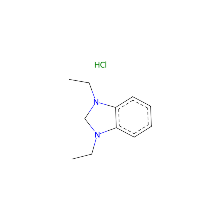 CCN1CN(CC)c2ccccc21.Cl